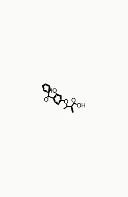 C=C(C(=O)O)C(C)Oc1ccc(C(=O)c2ccccc2)c(O)c1